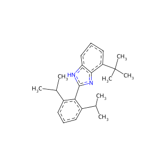 CC(C)c1cccc(C(C)C)c1-c1nc2c(C(C)(C)C)cccc2[nH]1